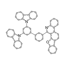 c1cc(-c2cc(-n3c4ccccc4c4ccccc43)cc(-n3c4ccccc4c4ccccc43)c2)cc(-c2nc3ccccc3c3ccc4c5ccccc5oc4c23)c1